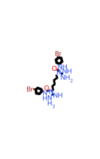 N=C(N)N(CCCCCCN(C(=N)N)C(=O)Nc1ccc(Br)cc1)C(=O)Nc1ccc(Br)cc1